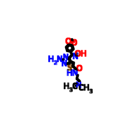 CN(C)CCCNC(=O)c1cc2c(C(=NO)c3ccc4c(c3)OCO4)nc(N)nc2s1